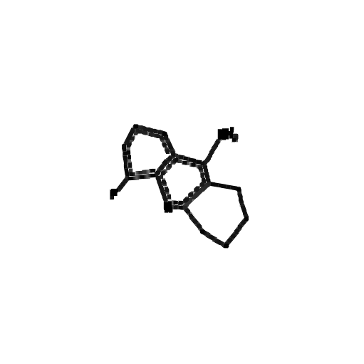 Nc1c2c(nc3c(F)cccc13)CCCC2